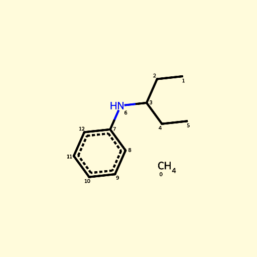 C.CCC(CC)Nc1ccccc1